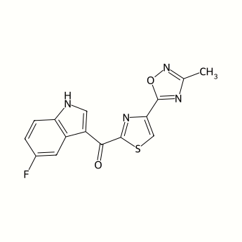 Cc1noc(-c2csc(C(=O)c3c[nH]c4ccc(F)cc34)n2)n1